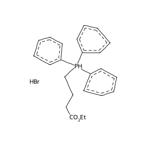 Br.CCOC(=O)CCC[PH](c1ccccc1)(c1ccccc1)c1ccccc1